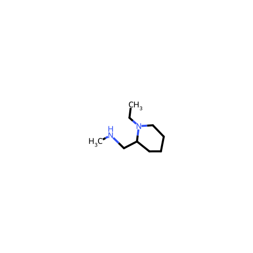 CCN1CCCCC1CNC